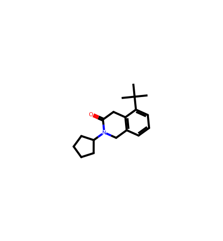 CC(C)(C)c1cccc2c1CC(=O)N(C1CCCC1)C2